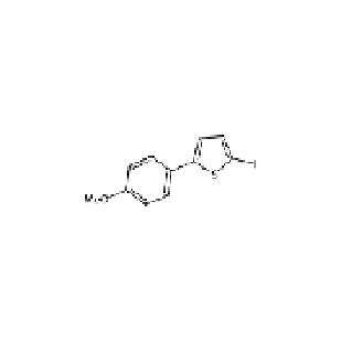 COc1ccc(-c2ccc(I)s2)cc1